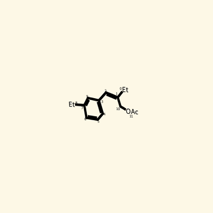 CCC(=Cc1cccc(CC)c1)COC(C)=O